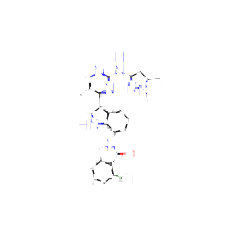 Cc1cnc(Nc2cc(C)n(C)n2)nc1-c1c[nH]c2c(N3Cc4cccc(Cl)c4C3=O)cccc12